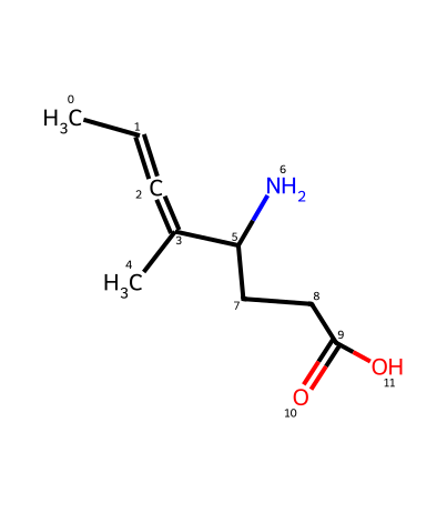 CC=C=C(C)C(N)CCC(=O)O